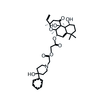 C=C[C@@]1(C)CC(=O)[C@@]2(O)[C@](C)(O1)[C@@H](OC(=O)COC(=O)CN1CCC(O)(c3ccccc3)CC1)C=C1C(C)(C)CC[C@H](O)[C@@]12C